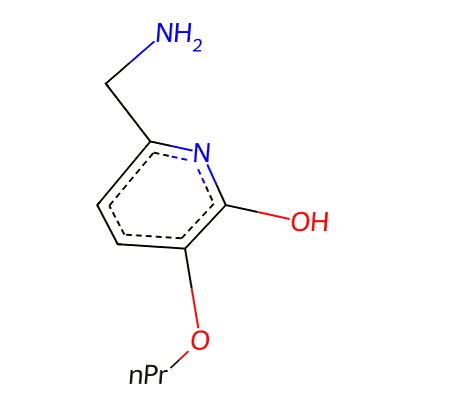 CCCOc1ccc(CN)nc1O